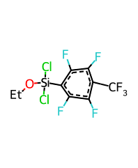 CCO[Si](Cl)(Cl)c1c(F)c(F)c(C(F)(F)F)c(F)c1F